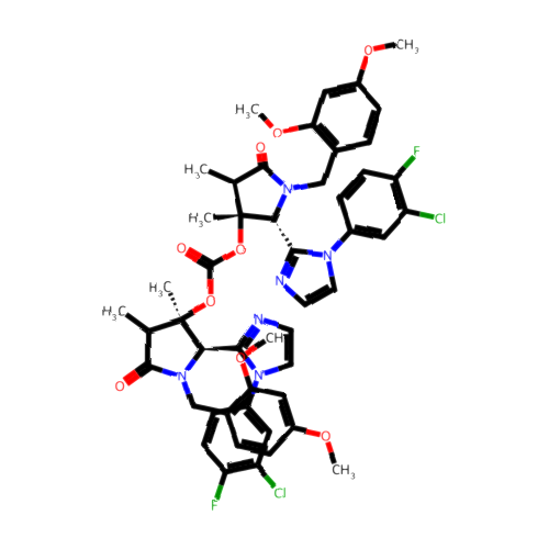 COc1ccc(CN2C(=O)C(C)[C@@](C)(OC(=O)O[C@]3(C)C(C)C(=O)N(Cc4ccc(OC)cc4OC)[C@@H]3c3nccn3-c3ccc(F)c(Cl)c3)[C@H]2c2nccn2-c2ccc(F)c(Cl)c2)c(OC)c1